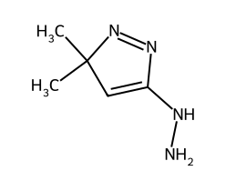 CC1(C)C=C(NN)N=N1